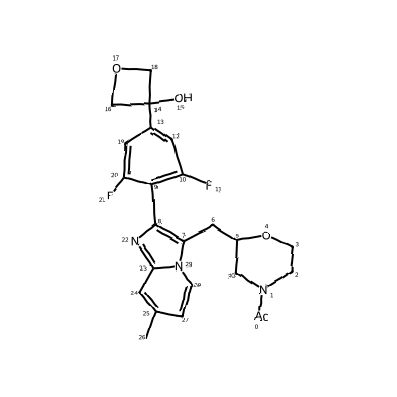 CC(=O)N1CCOC(Cc2c(-c3c(F)cc(C4(O)COC4)cc3F)nc3cc(C)ccn23)C1